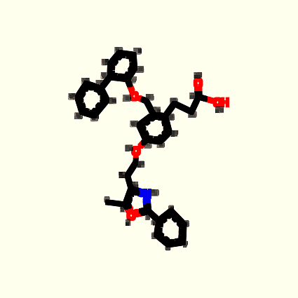 Cc1oc(-c2ccccc2)nc1CCOc1ccc(CCC(=O)O)c(COc2ccccc2-c2ccccc2)c1